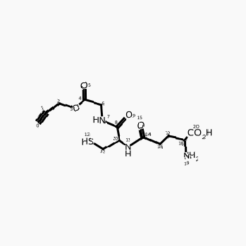 C#CCOC(=O)CNC(=O)C(CS)NC(=O)CCC(N)C(=O)O